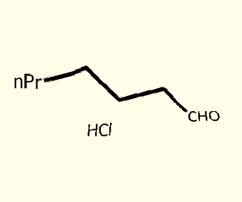 CCCCCCC=O.Cl